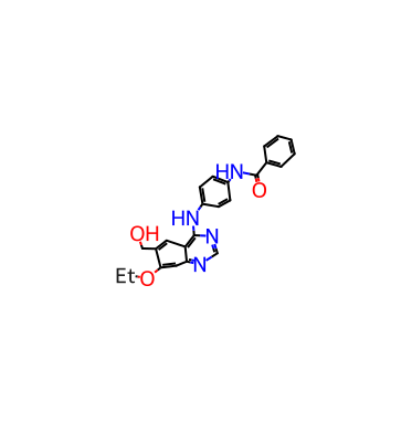 CCOc1cc2ncnc(Nc3ccc(NC(=O)c4ccccc4)cc3)c2cc1CO